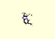 Cc1ccc2nc(C)c(C(C)(C)C)n2c1